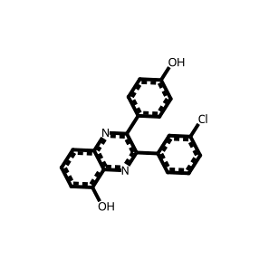 Oc1ccc(-c2nc3cccc(O)c3nc2-c2cccc(Cl)c2)cc1